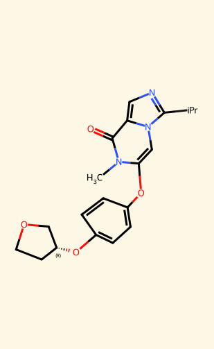 CC(C)c1ncc2c(=O)n(C)c(Oc3ccc(O[C@@H]4CCOC4)cc3)cn12